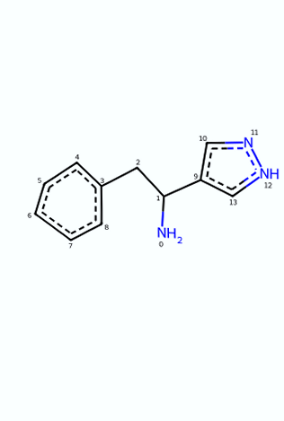 NC(Cc1ccccc1)c1cn[nH]c1